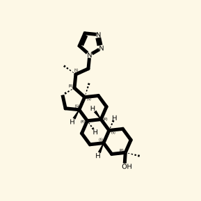 C[C@H](Cn1ccnn1)[C@H]1CC[C@H]2[C@@H]3CC[C@H]4C[C@](C)(O)CC[C@@H]4[C@H]3CC[C@]12C